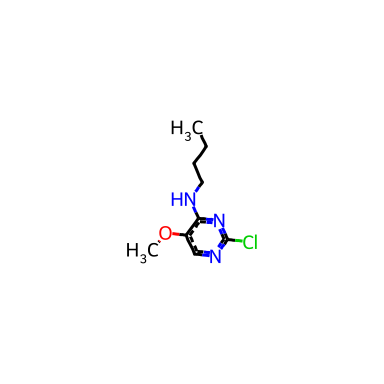 CCCCNc1nc(Cl)ncc1OC